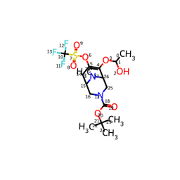 CC(O)OC1=C(OS(=O)(=O)C(F)(F)F)CC2CN(C(=O)OC(C)(C)C)CC1N2C